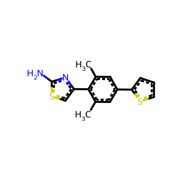 Cc1cc(-c2cccs2)cc(C)c1-c1csc(N)n1